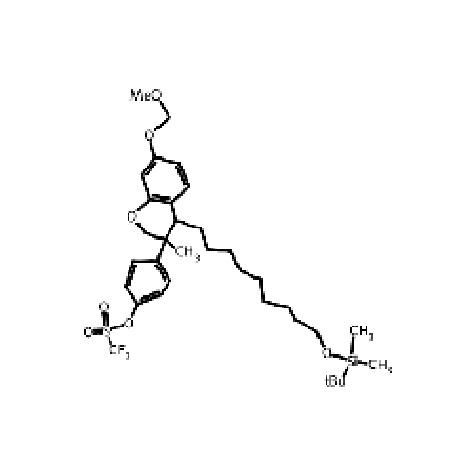 COCOc1ccc2c(c1)OCC(C)(c1ccc(OS(=O)(=O)C(F)(F)F)cc1)C2CCCCCCCCCO[Si](C)(C)C(C)(C)C